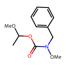 COC(C)OC(=O)N(Cc1ccccc1)OC